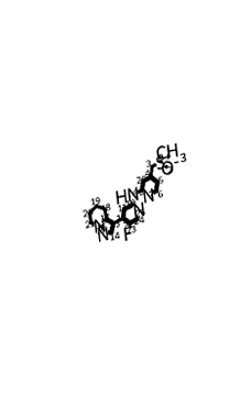 C[S+]([O-])Cc1ccnc(Nc2cc(-c3cnn4c3CCCC4)c(F)cn2)c1